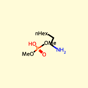 CCCCCCCCN.COP(=O)(O)OC